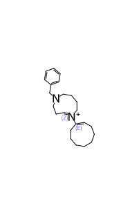 C1=[N+](\C2=C\CCCCCCC2)CCCCN(Cc2ccccc2)CC/1